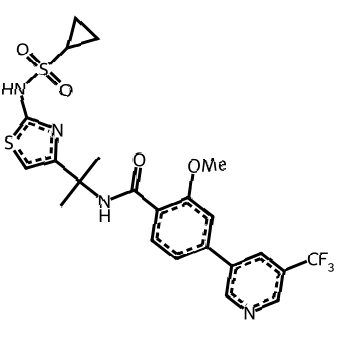 COc1cc(-c2cncc(C(F)(F)F)c2)ccc1C(=O)NC(C)(C)c1csc(NS(=O)(=O)C2CC2)n1